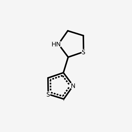 [c]1nc(C2NCCS2)cs1